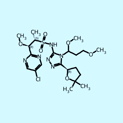 COCCC(OC)n1c(NS(=O)(=O)[C@@H](C)[C@H](OC)c2ncc(Cl)cn2)nnc1[C@H]1CCC(C)(C)O1